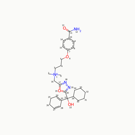 C[N+](C)(CCCOc1ccc(C(N)=O)cc1)Cc1nnc(C(O)(C2=CCCC=C2)C2CCCCC2)o1